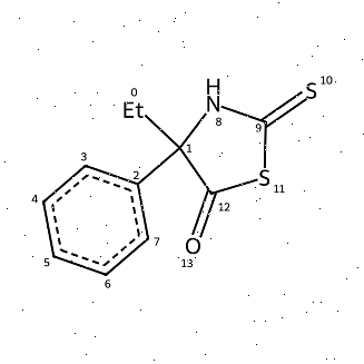 CCC1(c2ccccc2)NC(=S)SC1=O